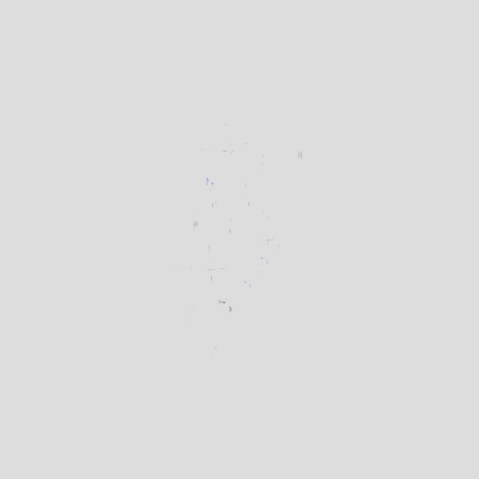 COc1c(-c2ccccc2)c(C(F)(F)F)nc2ccc(C(O)(c3ccc(Cl)cc3)c3cncn3C)cc12